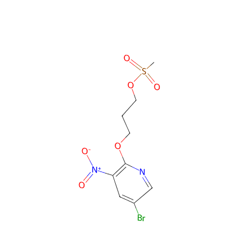 CS(=O)(=O)OCCCOc1ncc(Br)cc1[N+](=O)[O-]